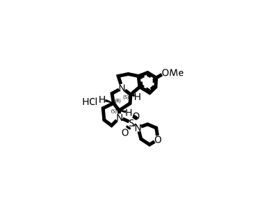 COc1ccc2c(c1)CCN1C[C@H]3CCCN(S(=O)(=O)N4CCOCC4)[C@H]3C[C@@H]21.Cl